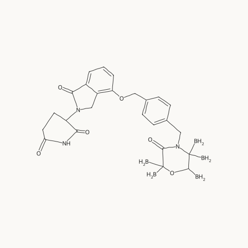 BC1OC(B)(B)C(=O)N(Cc2ccc(COc3cccc4c3CN(C3CCC(=O)NC3=O)C4=O)cc2)C1(B)B